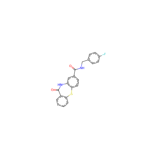 O=C(NCc1ccc(F)cc1)c1ccc2c(c1)NC(=O)c1ccccc1S2